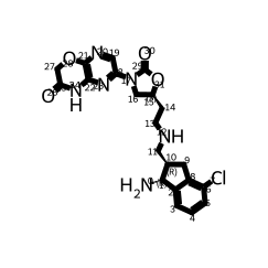 N[C@H]1c2cccc(Cl)c2C[C@@H]1CNCC[C@H]1CN(c2cnc3c(n2)NC(=O)CO3)C(=O)O1